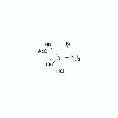 CC(=O)ONC(C)(C)C.CC(C)(C)ON.Cl